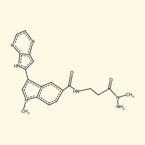 CN(N)C(=O)CCNC(=O)c1ccc2c(c1)c(-c1cc3nccnc3[nH]1)cn2C